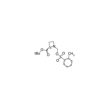 Cc1ccccc1S(=O)(=O)OCN1CC[C@@H]1C(=O)OC(C)(C)C